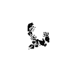 CCc1ccc(CC(NC(=O)ON2CCC(N3CCc4ccccc4NC3=O)CC2)C(=O)N2CCN(C3CCN(C)CC3)CC2)cc1CC.Cc1ccc(S(=O)(=O)O)cc1